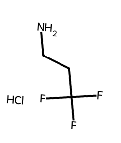 Cl.NCCC(F)(F)F